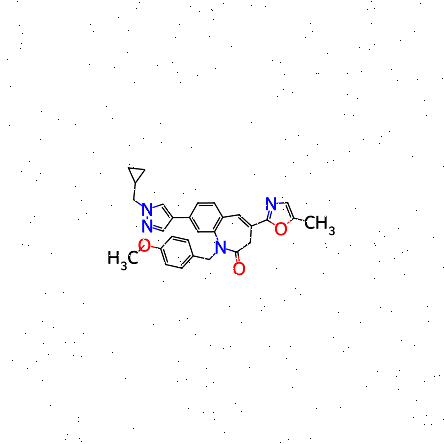 COc1ccc(CN2C(=O)CC(c3ncc(C)o3)=Cc3ccc(-c4cnn(CC5CC5)c4)cc32)cc1